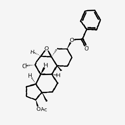 CC(=O)O[C@H]1CC[C@H]2[C@@H]3[C@H](Cl)[C@H]4O[C@]45C[C@@H](OC(=O)c4ccccc4)CC[C@]5(C)[C@H]3CC[C@]12C